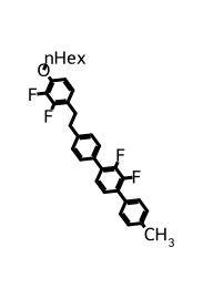 CCCCCCOc1ccc(CCc2ccc(-c3ccc(-c4ccc(C)cc4)c(F)c3F)cc2)c(F)c1F